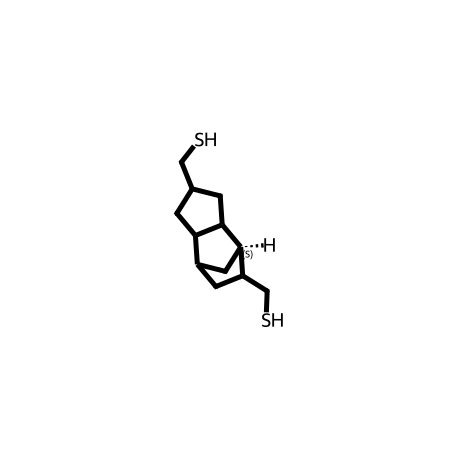 SCC1CC2C3CC(CS)[C@@H](C3)C2C1